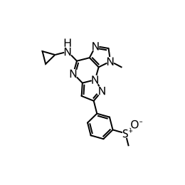 Cn1cnc2c(NC3CC3)nc3cc(-c4cccc([S+](C)[O-])c4)nn3c21